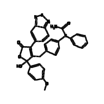 COc1ccc(C2(O)OC(=O)C(c3ccc4nsnc4c3)=C2Cc2ccc(N(C(N)=O)c3ccccc3)cc2)cc1